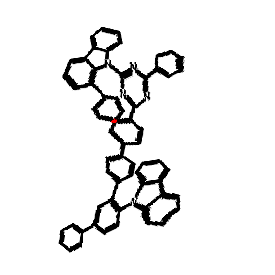 c1ccc(-c2ccc(-n3c4ccccc4c4ccccc43)c(-c3ccc(-c4ccc(-c5nc(-c6ccccc6)nc(-n6c7ccccc7c7cccc(-c8ccccc8)c76)n5)cc4)cc3)c2)cc1